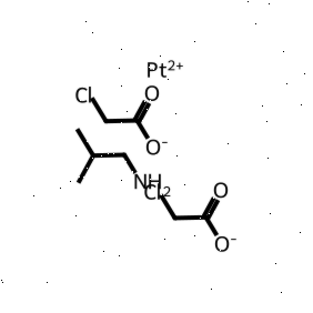 CC(C)CN.O=C([O-])CCl.O=C([O-])CCl.[Pt+2]